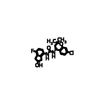 CC1(C)C[C@@H](NC(=O)Nc2ccc(F)c3c2C[C@@H](O)C3)c2ccc(Cl)cc2O1